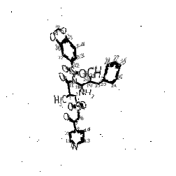 CC(CS(=O)(=O)CC(=O)c1ccncc1)C(=O)N([C@H](N)[C@@H](C)Cc1ccccc1)S(=O)(=O)c1ccc2c(c1)OCO2